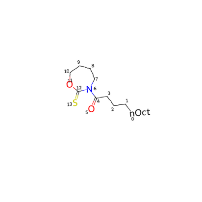 CCCCCCCCCCCC(=O)N1CCCCOC1=S